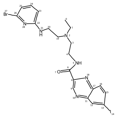 CCN(CCNC(=O)c1cnc2cc(I)ccc2n1)CCNc1cccc(Br)n1